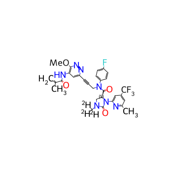 [2H]C([2H])([2H])N1C[C@@H](C(=O)N(CC#Cc2cc(NC(=O)C(=C)C)c(OC)nn2)c2ccc(F)cc2)N(c2cc(C(F)(F)F)cc(C)n2)C1=O